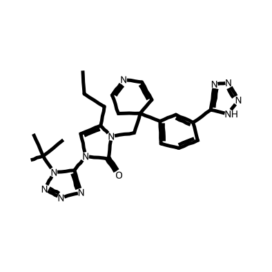 CCCc1cn(-c2nnnn2C(C)(C)C)c(=O)n1CC1(c2cccc(-c3nnn[nH]3)c2)C=CN=CC1